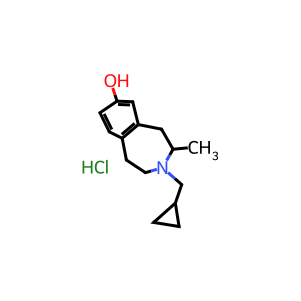 CC1Cc2cc(O)ccc2CCN1CC1CC1.Cl